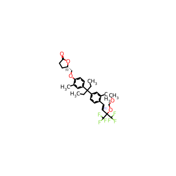 CCC(CC)(c1ccc(/C=C/C(OCOC)(C(F)(F)F)C(F)(F)F)c(C)c1)c1ccc(OC[C@@H]2CCC(=O)O2)c(C)c1